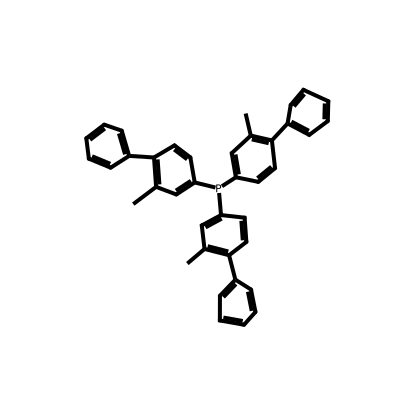 Cc1cc(P(c2ccc(-c3ccccc3)c(C)c2)c2ccc(-c3ccccc3)c(C)c2)ccc1-c1ccccc1